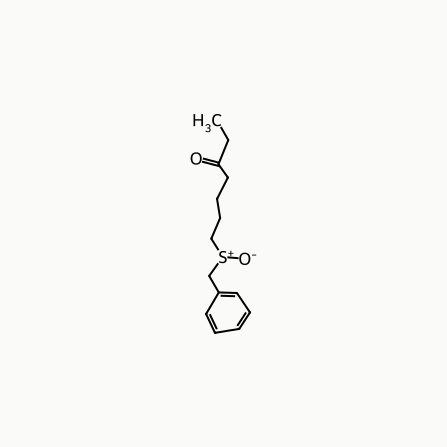 CCC(=O)CCCC[S+]([O-])Cc1ccccc1